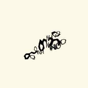 COc1ccccc1C=CC(=O)Nc1ccc(Cc2nc(N(C)C)c(CC(=O)O)c(N3CCOCC3)n2)cc1